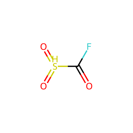 O=C(F)[SH](=O)=O